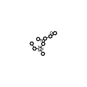 c1ccc(-c2cccc(-c3nc(-c4ccccc4)nc(-c4ccc5c6cc(-c7ccc8c(c7)oc7ccccc78)ccc6n(-c6ccccc6)c5c4)n3)c2)cc1